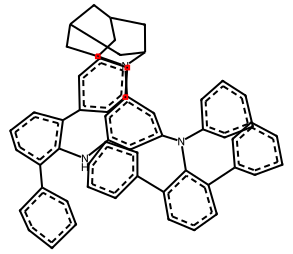 c1ccc(-c2cccc(-c3ccccc3)c2Nc2cc(N(c3ccccc3)c3c(-c4ccccc4)cccc3-c3ccccc3)cc(N3C4CC5CC(C4)CC3C5)c2)cc1